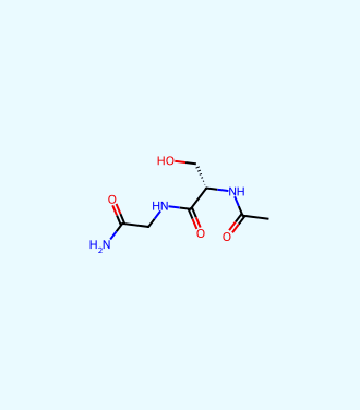 CC(=O)N[C@@H](CO)C(=O)NCC(N)=O